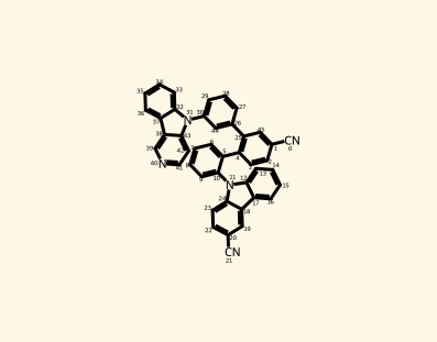 N#Cc1ccc(-c2ccccc2-n2c3ccccc3c3cc(C#N)ccc32)c(-c2cccc(-n3c4ccccc4c4cnccc43)c2)c1